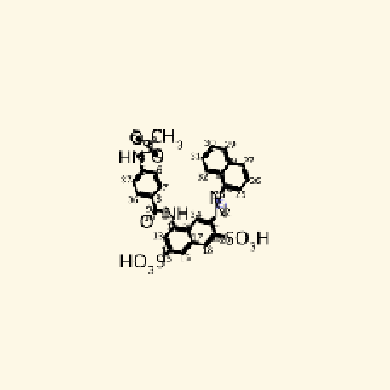 CS(=O)(=O)Nc1ccc(C(=O)Nc2cc(S(=O)(=O)O)cc3cc(S(=O)(=O)O)c(/N=N/c4cccc5ccccc45)cc23)cc1